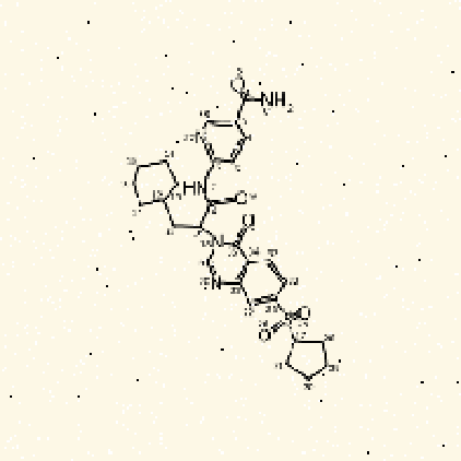 NC(=O)c1ccc(NC(=O)C(CC2CCCCC2)n2cnc3cc(S(=O)(=O)C4CCCC4)ccc3c2=O)nc1